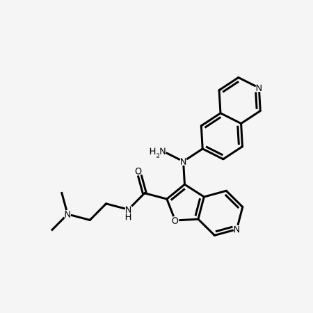 CN(C)CCNC(=O)c1oc2cnccc2c1N(N)c1ccc2cnccc2c1